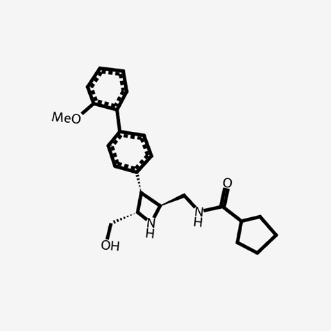 COc1ccccc1-c1ccc([C@H]2[C@@H](CO)N[C@@H]2CNC(=O)C2CCCC2)cc1